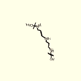 CC(C)(O)NCCCNCCCNC(C)(C)O